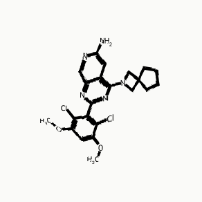 COc1cc(OC)c(Cl)c(-c2nc(N3CC4(CCCC4)C3)c3cc(N)ncc3n2)c1Cl